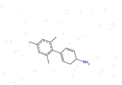 Cc1cc(C)c(C2=CCC(N)C=C2)c(C)c1